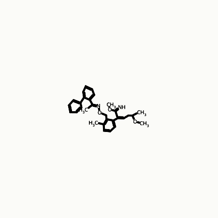 COC(=N)/C(=C\CC(C)OC)c1cccc(C)c1CO/N=C(\C)c1ccccc1-c1ccccc1